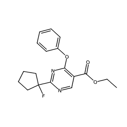 CCOC(=O)c1cnc(C2(F)CCCC2)nc1Oc1ccccc1